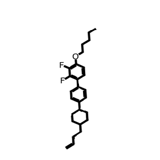 C=CCCC1CCC(c2ccc(-c3ccc(OCCCCC)c(F)c3F)cc2)CC1